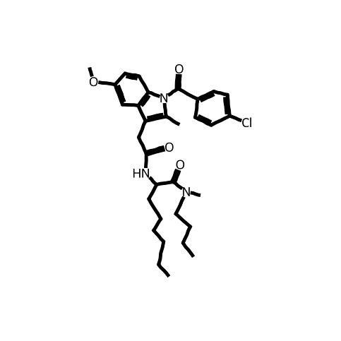 CCCCCCC(NC(=O)Cc1c(C)n(C(=O)c2ccc(Cl)cc2)c2ccc(OC)cc12)C(=O)N(C)CCCC